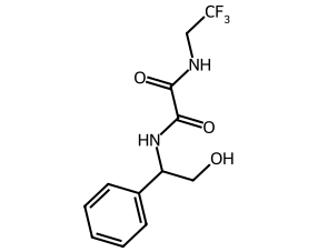 O=C(NCC(F)(F)F)C(=O)NC(CO)c1ccccc1